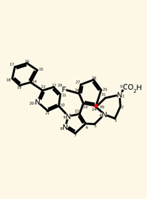 O=C(O)N1CCN(Cc2cnn(-c3ccc(-c4ccccc4)nc3)c2-c2ccccc2F)CC1